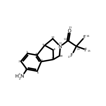 Nc1ccc2c(c1)C1CC2CN(C(=O)C(F)(F)F)C1